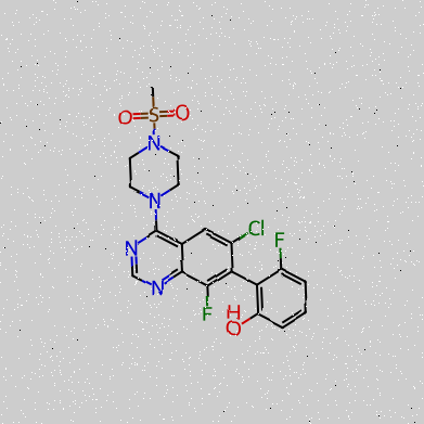 CS(=O)(=O)N1CCN(c2ncnc3c(F)c(-c4c(O)cccc4F)c(Cl)cc23)CC1